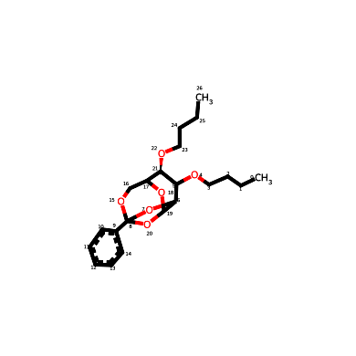 CCCCOC1C2OC3(c4ccccc4)OCC(OC2O3)[C@H]1OCCCC